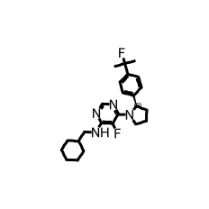 CC(C)(F)c1ccc([C@H]2CCCN2c2ncnc(NCC3CCCCC3)c2F)cc1